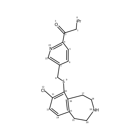 CC(C)CC(=O)c1ccc(CSc2c(Cl)ccc3c2CCNCC3)cn1